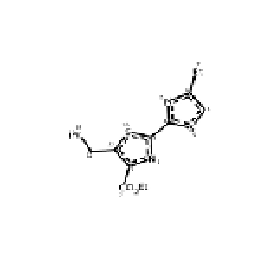 CCOC(=O)c1nc(-c2nc(CC)cs2)sc1CC(C)C